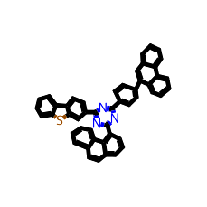 c1ccc2c(c1)cc(-c1ccc(-c3nc(-c4ccc5c(c4)sc4ccccc45)nc(-c4cccc5ccc6ccccc6c45)n3)cc1)c1ccccc12